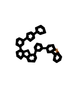 c1ccc(-c2ccc(-c3cccc(-c4cccc5c4Cc4c(-c6cccc(-c7ccc8sc9ccccc9c8c7)c6)cccc4-5)c3)cc2)cc1